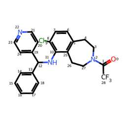 O=C(N1CCc2ccc(Cl)c(NC(c3ccccc3)c3ccncc3)c2CC1)C(F)(F)F